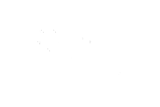 CC(C)[C@H](Oc1ccc(Br)cc1F)c1nn[nH]n1